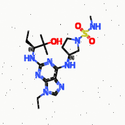 CC[C@H](Nc1nc(N[C@H]2CCN(S(=O)(=O)NC)C2)c2ncn(CC)c2n1)C(C)(C)O